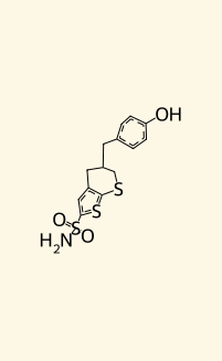 NS(=O)(=O)c1cc2c(s1)SCC(Cc1ccc(O)cc1)C2